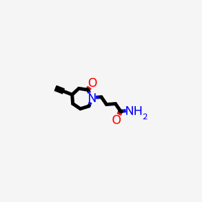 C#CC1CCCN(CCCC(N)=O)C(=O)C1